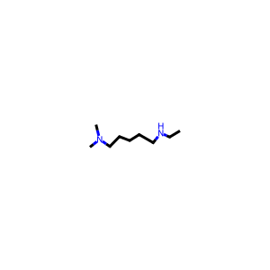 CCNCCCCCN(C)C